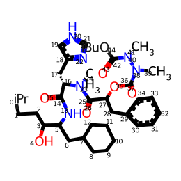 CC(C)CCC(O)C(CC1CCCCC1)NC(=O)[C@H](Cc1c[nH]cn1)N(C)C(=O)C(Cc1ccccc1)OC(=O)N(C)N(C)C(=O)OCC(C)C